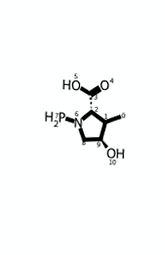 CC1[C@@H](C(=O)O)N(P)C[C@@H]1O